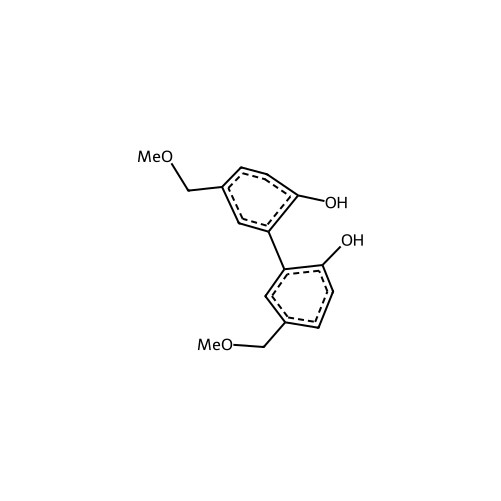 COCc1ccc(O)c(-c2cc(COC)ccc2O)c1